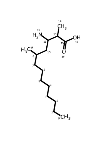 CCCCCCCCC(C)CC(N)C(C)C(=O)O